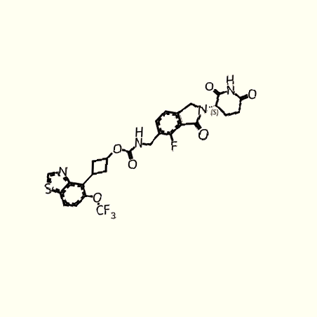 O=C1CC[C@H](N2Cc3ccc(CNC(=O)OC4CC(c5c(OC(F)(F)F)ccc6scnc56)C4)c(F)c3C2=O)C(=O)N1